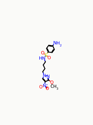 COc1nn(CCCCNS(=O)(=O)c2ccc(N)cc2)cc1[N+](=O)[O-]